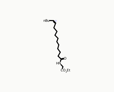 CCCC/C=C\CCCCCCCCCC(=O)NCC(=O)OCC